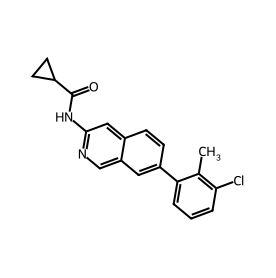 Cc1c(Cl)cccc1-c1ccc2cc(NC(=O)C3CC3)ncc2c1